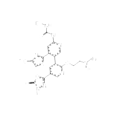 CCNC(=O)Nc1cc(-c2nc(C(F)(F)F)cs2)c(-c2cc(-c3n[nH]c(=O)o3)cnc2OCCN(C(C)C)C(C)C)cn1